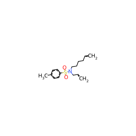 C=CCCCCN(CC=C)S(=O)(=O)c1ccc(C)cc1